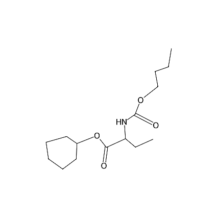 CCCCOC(=O)NC(CC)C(=O)OC1CCCCC1